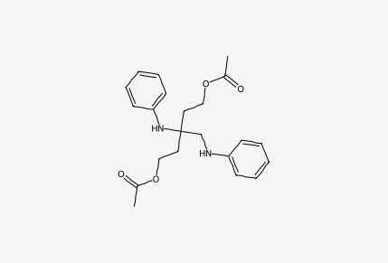 CC(=O)OCCC(CCOC(C)=O)(CNc1ccccc1)Nc1ccccc1